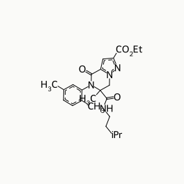 CCOC(=O)c1cc2n(n1)CC(C)(C(=O)NCCC(C)C)N(c1cc(C)ccc1C)C2=O